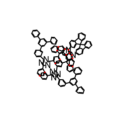 c1ccc(-c2cc(-c3ccccc3)cc(-c3cccc(-c4nc(-c5ccccc5)nc(-c5cccc(-c6cccc7c6c6cc(-c8ccccc8)ccc6n7-c6ccc7c(c6)C6(c8ccccc8-7)c7ccccc7-c7ccc(-n8c9ccc(-c%10ccccc%10)cc9c9c(-c%10cccc(-c%11nc(-c%12ccccc%12)nc(-c%12cccc(-c%13cc(-c%14ccccc%14)cc(-c%14ccccc%14)c%13)c%12)n%11)c%10)cccc98)cc76)c5)n4)c3)c2)cc1